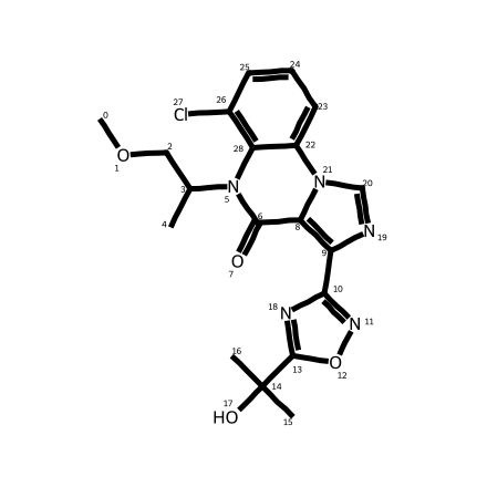 COCC(C)n1c(=O)c2c(-c3noc(C(C)(C)O)n3)ncn2c2cccc(Cl)c21